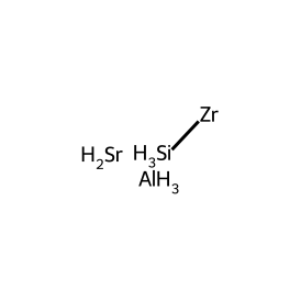 [AlH3].[SiH3][Zr].[SrH2]